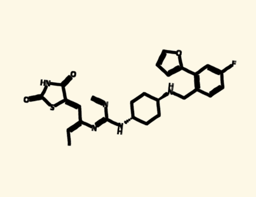 C=N\C(=N/C(=C\C)/C=C1\SC(=O)NC1=O)N[C@H]1CC[C@H](NCc2ccc(F)cc2-c2ccco2)CC1